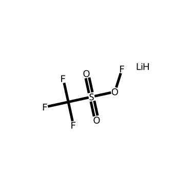 O=S(=O)(OF)C(F)(F)F.[LiH]